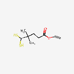 CNOC(=O)CCC(C)(C)C(S)S